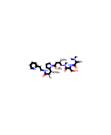 CC[C@H](C)[C@@H]([C@@H](CC(=O)N1CCCC1[C@H](OC)[C@@H](C)C(=O)NCCc1ccccn1)OC)N(C)C(=O)C(CO)NC(=O)C(C(C)C)N(C)C